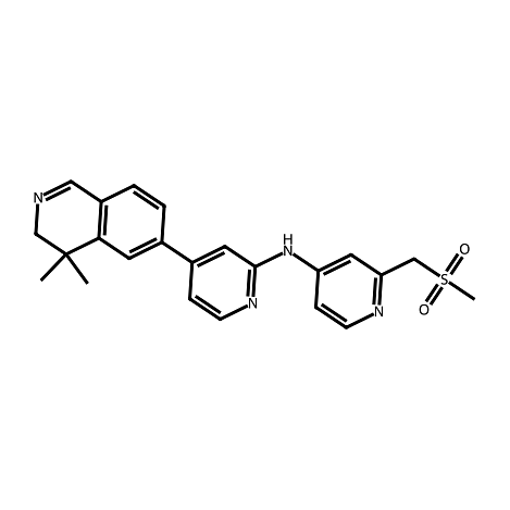 CC1(C)CN=Cc2ccc(-c3ccnc(Nc4ccnc(CS(C)(=O)=O)c4)c3)cc21